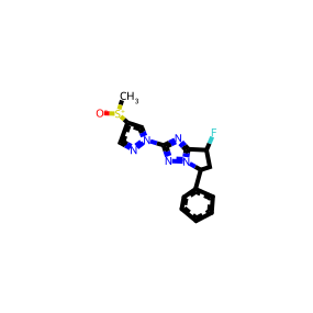 C[S+]([O-])c1cnn(-c2nc3n(n2)C(c2ccccc2)CC3F)c1